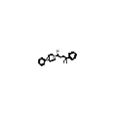 O=C(CCC(F)N1CCN(c2ccccc2)CC1)c1ccccc1